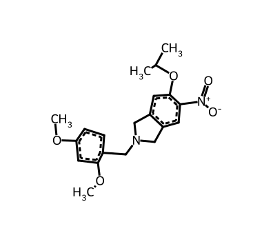 COc1ccc(CN2Cc3cc(OC(C)C)c([N+](=O)[O-])cc3C2)c(OC)c1